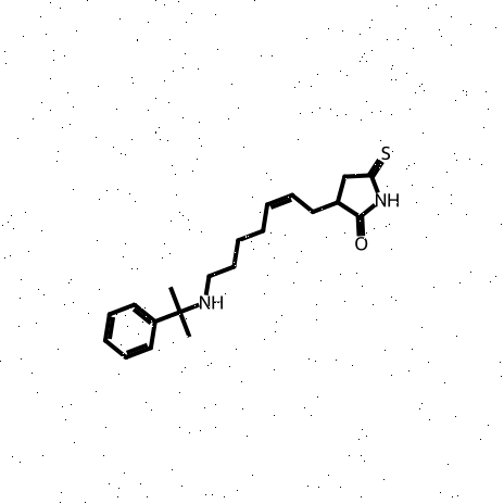 CC(C)(NCCCC/C=C\CC1CC(=S)NC1=O)c1ccccc1